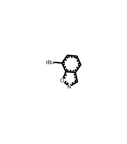 CC(C)(C)c1cccc2cnoc12